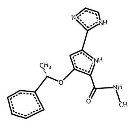 CNC(=O)c1[nH]c(-c2ncc[nH]2)cc1O[C@@H](C)c1ccccc1